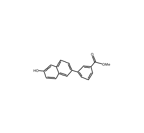 COC(=O)c1cccc(-c2ccc3cc(O)ccc3c2)c1